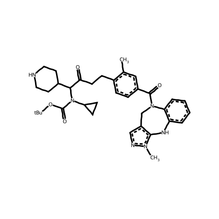 Cc1cc(C(=O)N2Cc3cnn(C)c3Nc3ccccc32)ccc1CCC(=O)C(C1CCNCC1)N(C(=O)OC(C)(C)C)C1CC1